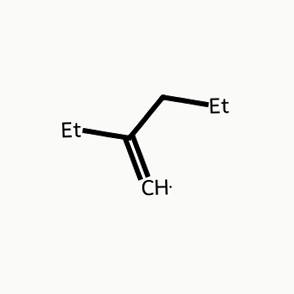 [CH]=C(CC)CCC